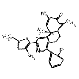 Cc1nc(C)c(-c2nc(-c3ccccc3F)c3c(n2)[C@]2(C)C=C(C#N)C(=O)C(C)C2CC3)s1